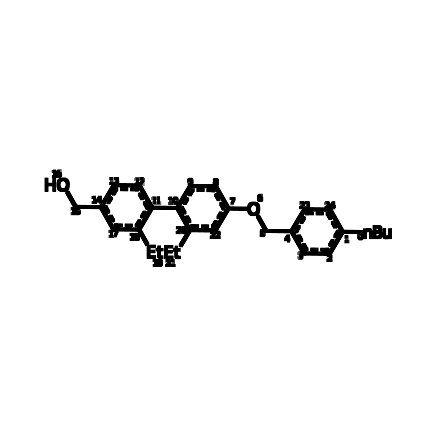 CCCCc1ccc(COc2ccc(-c3ccc(CO)cc3CC)c(CC)c2)cc1